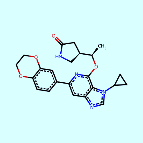 C[C@@H](Oc1nc(-c2ccc3c(c2)OCCO3)cc2ncn(C3CC3)c12)[C@H]1CNC(=O)C1